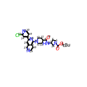 CC(C)(C)OC(=O)N1CCC(NC(=O)C2CCN(c3nc(-c4ccnc(Cl)c4)cc4cnccc34)CC2)C1